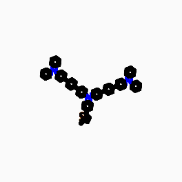 Cc1ccc(-c2ccc(N(c3ccc(-c4ccc(-c5ccc(N(c6ccccc6)c6ccccc6)cc5)cc4)cc3)c3ccc(-c4ccc(-c5ccc(N(c6ccccc6)c6ccccc6)cc5)cc4)cc3)cc2)s1